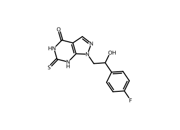 O=c1[nH]c(=S)[nH]c2c1cnn2CC(O)c1ccc(F)cc1